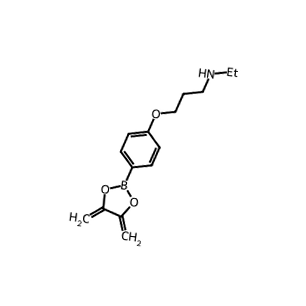 C=C1OB(c2ccc(OCCCNCC)cc2)OC1=C